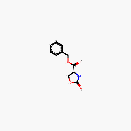 O=C1N[C@H](C(=O)OCc2ccccc2)CO1